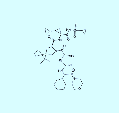 CC(C)(C)[C@H](NC(=O)N[C@H](C(=O)N1CCOCC1)C1CCCCC1)C(=O)N1C[C@]2(C[C@H]1C(=O)N[C@]1(C(=O)NS(=O)(=O)C3CC3)C[C@H]1C1CC1)C(C)(C)C21CCC1